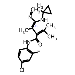 C=N/C(NC1(C)CC1)=C(\C)C(C(=O)Nc1ccc(Cl)cc1F)=C(C)C